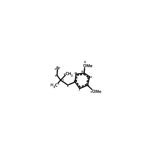 COc1cc(CC(C)(C)CBr)cc(OC)c1